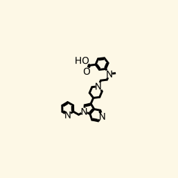 CN(CCN1CCC(c2cn(Cc3ccccn3)c3ccncc23)CC1)c1cccc(C(=O)O)c1